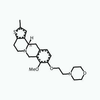 COc1c(OCCN2CCOCC2)ccc2c1CN1CCc3sc(C)cc3[C@@H]1C2